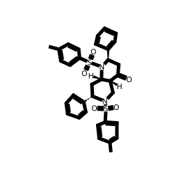 Cc1ccc(S(=O)(=O)N2C[C@H]3C(=O)C[C@H](c4ccccc4)N(S(=O)(=O)c4ccc(C)cc4)[C@H]3C[C@H]2c2ccccc2)cc1